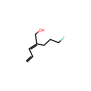 C=C/C=C(/CO)CCCF